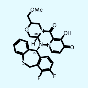 COCC1CN2C(=O)c3c(O)c(=O)ccn3N([C@@H]3c4ccccc4SCc4c3ccc(F)c4F)[C@@H]2CO1